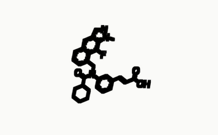 Cn1ncc2cc3cccc(CN(C(=O)C4CCCCC4)c4cccc(/C=C/C(=O)O)c4)c3c(F)c21